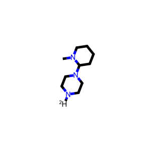 [2H]N1CCN(C2CCCCN2C)CC1